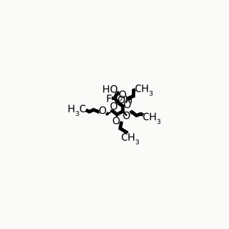 CCCCOC[C@H]1O[C@@](O)(C(F)C(=O)O)[C@H](OCCCC)[C@@H](OCCCC)[C@H]1OCCCC